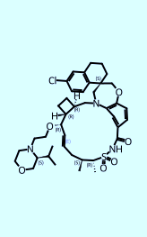 CC(C)[C@H]1COCCN1CCO[C@H]1/C=C/C[C@H](C)[C@@H](C)S(=O)(=O)NC(=O)c2ccc3c(c2)N(C[C@@H]2CC[C@H]21)C[C@@]1(CCCc2cc(Cl)ccc21)CO3